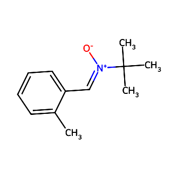 Cc1ccccc1C=[N+]([O-])C(C)(C)C